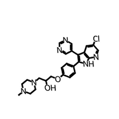 CN1CCN(CC(O)COc2ccc(-c3[nH]c4ncc(Cl)cc4c3-c3cncnc3)cc2)CC1